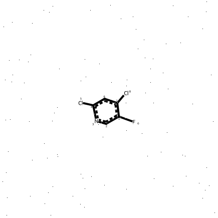 Fc1cnc(Cl)[c]c1Cl